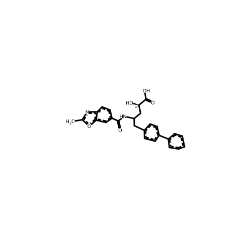 Cc1nc2ccc(C(=O)NC(Cc3ccc(-c4ccccc4)cc3)C[C@@H](O)C(=O)O)cc2o1